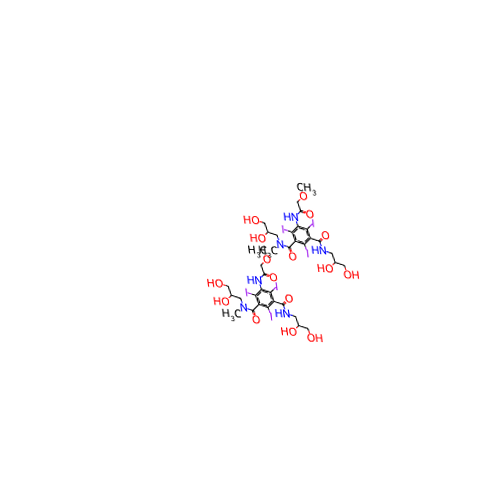 COCC(=O)Nc1c(I)c(C(=O)NCC(O)CO)c(I)c(C(=O)N(C)CC(O)CO)c1I.COCC(=O)Nc1c(I)c(C(=O)NCC(O)CO)c(I)c(C(=O)N(C)CC(O)CO)c1I